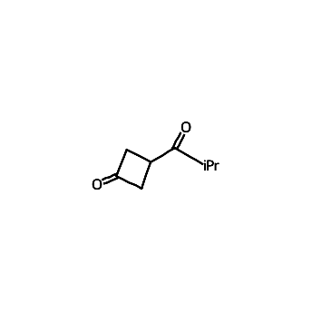 CC(C)C(=O)C1CC(=O)C1